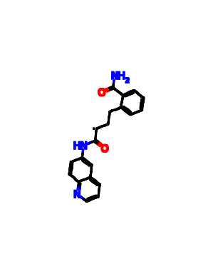 NC(=O)c1ccccc1CC[CH]C(=O)Nc1ccc2ncccc2c1